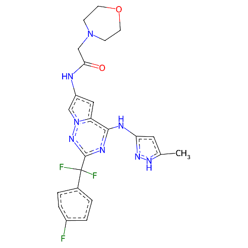 Cc1cc(Nc2nc(C(F)(F)c3ccc(F)cc3)nn3cc(NC(=O)CN4CCOCC4)cc23)n[nH]1